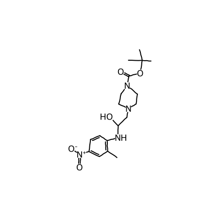 Cc1cc([N+](=O)[O-])ccc1NC(O)CN1CCN(C(=O)OC(C)(C)C)CC1